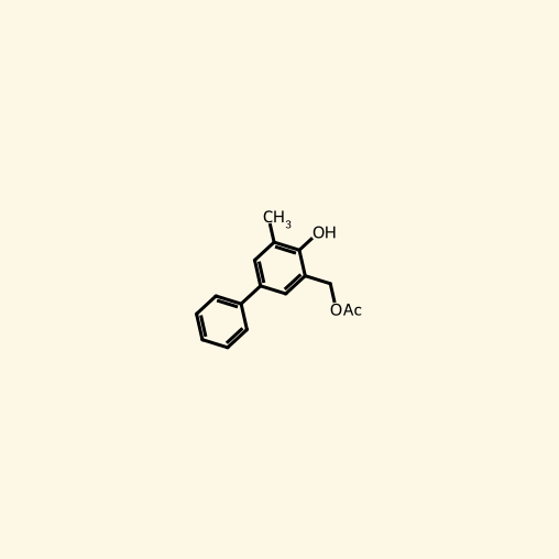 CC(=O)OCc1cc(-c2ccccc2)cc(C)c1O